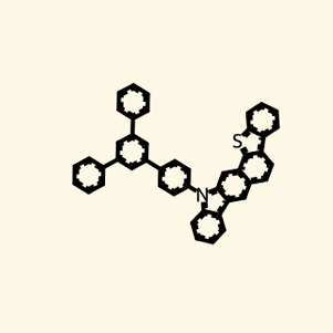 c1ccc(-c2cc(-c3ccccc3)cc(-c3ccc(-n4c5ccccc5c5cc6ccc7c8ccccc8sc7c6cc54)cc3)c2)cc1